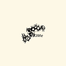 COc1nc(N2CCN3CCC[C@H]3C2)cc(-n2ncc3cc(C)c(C4CCN(C5COC5)CC4F)cc32)n1